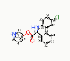 O=C(OC1CN2CCC1CC2)C(Nc1ccc(Cl)cc1)c1ccccc1